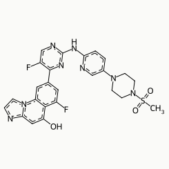 CS(=O)(=O)N1CCN(c2ccc(Nc3ncc(F)c(-c4cc(F)c5c(O)cc6nccn6c5c4)n3)nc2)CC1